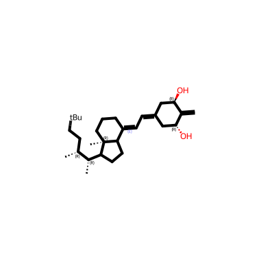 C=C1[C@H](O)CC(=C/C=C2\CCC[C@@]3(C)C2CCC3[C@H](C)[C@H](C)CCC(C)(C)C)C[C@H]1O